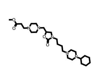 COC(=O)CCN1CCN(CC2CN(CCCCN3CCN(C4CCCCC4)CC3)C(=O)O2)CC1